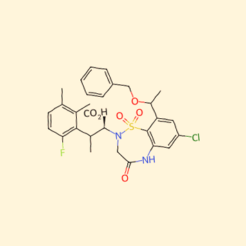 Cc1ccc(F)c(C(C)[C@@H](C(=O)O)N2CC(=O)Nc3cc(Cl)cc(C(C)OCc4ccccc4)c3S2(=O)=O)c1C